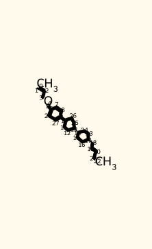 CC=CCOCc1ccc(C2CCC([C@H]3CC[C@H](C/C=C/CC)CC3)CC2)cc1